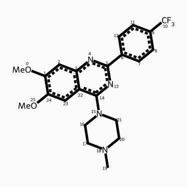 COc1cc2nc(-c3ccc(C(F)(F)F)cc3)nc(N3CCN(C)CC3)c2cc1OC